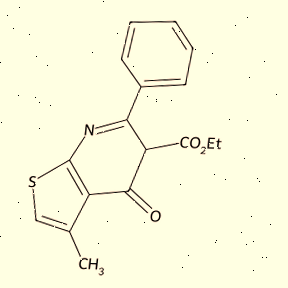 CCOC(=O)C1C(=O)c2c(C)csc2N=C1c1ccccc1